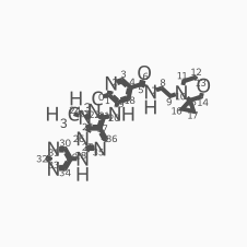 Cc1ncc(C(=O)NCCN2CCOCC23CC3)cc1Nc1nn(C)c2nc(Nc3cncnc3)ncc12